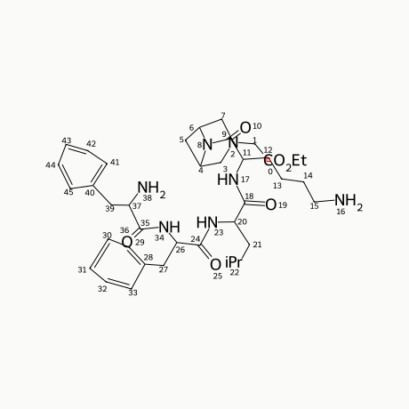 CCOC(=O)CN1CC2CC(C1)N2C(=O)C(CCCCN)NC(=O)C(CC(C)C)NC(=O)C(Cc1ccccc1)NC(=O)C(N)Cc1ccccc1